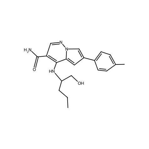 CCCC(CO)Nc1c(C(N)=O)cnn2cc(-c3ccc(C)cc3)cc12